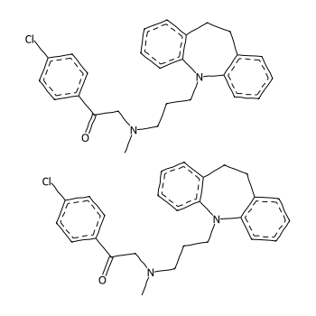 CN(CCCN1c2ccccc2CCc2ccccc21)CC(=O)c1ccc(Cl)cc1.CN(CCCN1c2ccccc2CCc2ccccc21)CC(=O)c1ccc(Cl)cc1